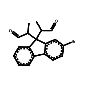 CC(C=O)C1(C(C)C=O)c2ccccc2-c2ccc(Br)cc21